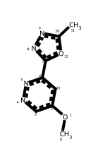 COc1cnnc(-c2nnc(C)o2)c1